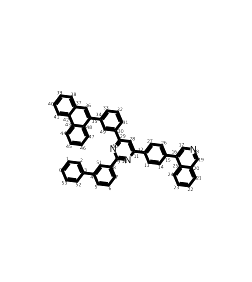 c1ccc(-c2cccc(-c3nc(-c4ccc(-c5cncc6ccccc56)cc4)cc(-c4cccc(-c5cc6ccccc6c6ccccc56)c4)n3)c2)cc1